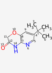 CC(C)(C)c1cnc2c(c1)OCC(=O)N2